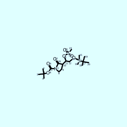 CC(C)(C)OC(=O)N1CCC(C(CO[Si](C)(C)C(C)(C)C)OS(C)(=O)=O)C1=O